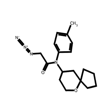 Cc1ccc(N(C(=O)CN=[N+]=[N-])C2CCOC3(CCCC3)C2)cc1